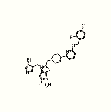 CCn1cncc1Cn1c(CN2CC=C(c3cccc(OCc4ccc(Cl)cc4F)n3)CC2)nc2sc(C(=O)O)cc21